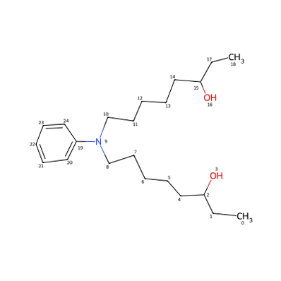 CCC(O)CCCCCN(CCCCCC(O)CC)c1ccccc1